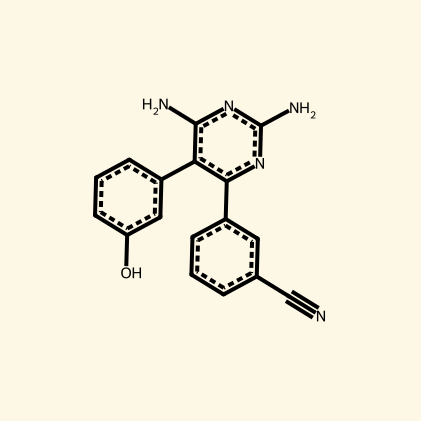 N#Cc1cccc(-c2nc(N)nc(N)c2-c2cccc(O)c2)c1